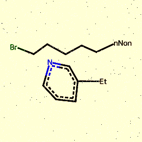 CCCCCCCCCCCCCCBr.CCc1cccnc1